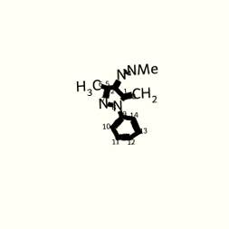 C=C1/C(=N\NC)C(C)=NN1c1ccccc1